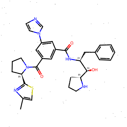 Cc1csc([C@H]2CCCN2C(=O)c2cc(C(=O)N[C@@H](Cc3ccccc3)[C@@H](O)[C@H]3CCCN3)cc(-n3ccnc3)c2)n1